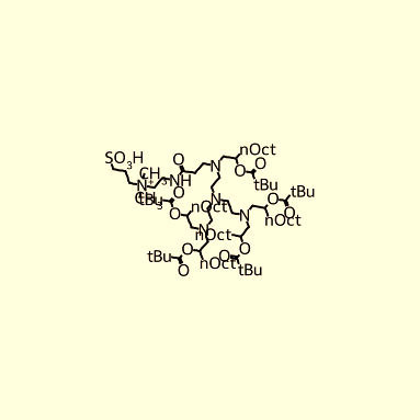 CCCCCCCCC(CN(CCC(=O)NCC[N+](C)(C)CCCS(=O)(=O)O)CCN(CCN(CC(CCCCCCCC)OC(=O)C(C)(C)C)CC(CCCCCCCC)OC(=O)C(C)(C)C)CCN(CC(CCCCCCCC)OC(=O)C(C)(C)C)CC(CCCCCCCC)OC(=O)C(C)(C)C)OC(=O)C(C)(C)C